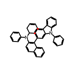 C1=CCC(N(c2ccccc2)c2ccc3ccccc3c2-c2ccc3c4ccccc4n(-c4ccccc4)c3c2)C=C1